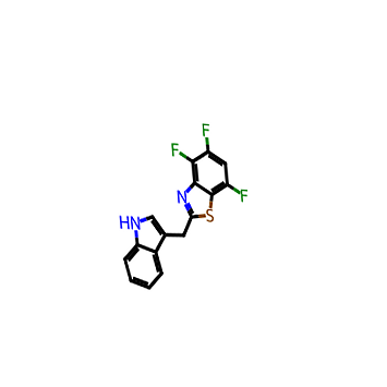 Fc1cc(F)c2sc(Cc3c[nH]c4ccccc34)nc2c1F